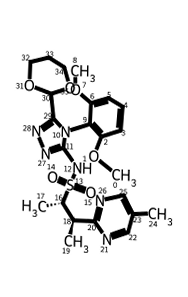 COc1cccc(OC)c1-n1c(NS(=O)(=O)[C@@H](C)[C@H](C)c2ncc(C)cn2)nnc1C1OCCCO1